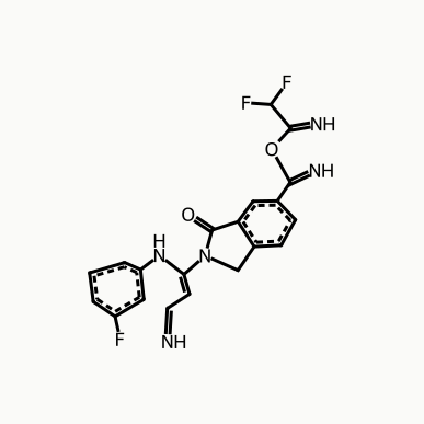 N=C/C=C(\Nc1cccc(F)c1)N1Cc2ccc(C(=N)OC(=N)C(F)F)cc2C1=O